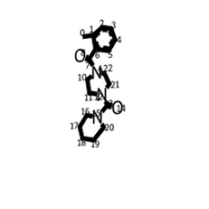 Cc1ccccc1C(=O)N1CCN(C(=O)N2CCCCC2)CC1